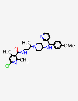 COc1ccc(C(NC2CCN(C(C)CCNC(=O)c3c(C)cc(Cl)nc3C)CC2)c2cccnc2)cc1